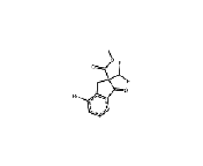 COC(=O)C1(C(F)F)Cc2c(Br)cccc2C1=O